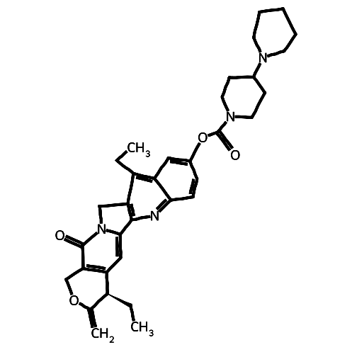 C=C1OCc2c(cc3n(c2=O)Cc2c-3nc3ccc(OC(=O)N4CCC(N5CCCCC5)CC4)cc3c2CC)[C@H]1CC